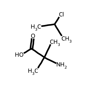 CC(C)(N)C(=O)O.CC(C)Cl